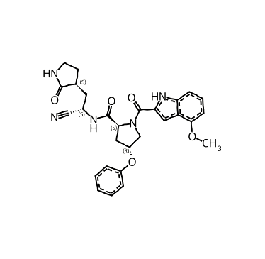 COc1cccc2[nH]c(C(=O)N3C[C@H](Oc4ccccc4)C[C@H]3C(=O)N[C@H](C#N)C[C@@H]3CCNC3=O)cc12